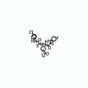 COC(=O)N1CC[C@H](NC(=S)C(=O)Nc2ccc(Cl)cn2)[C@H](NC(=O)c2nc3c(s2)CN(C)CC3)C1